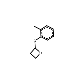 Cc1ccccc1OC1CCO1